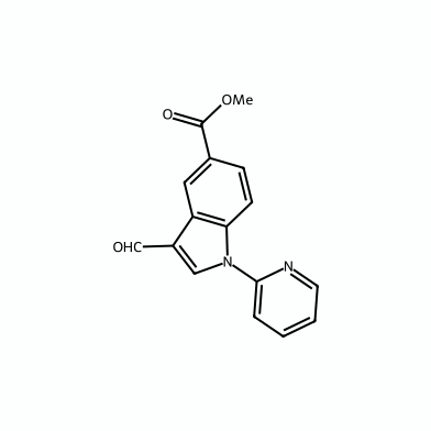 COC(=O)c1ccc2c(c1)c(C=O)cn2-c1ccccn1